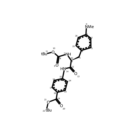 CNc1ccc(C[C@H](NC(=O)OC(C)(C)C)C(=O)Nc2ccc(C(=O)OC(C)(C)C)cc2)cc1